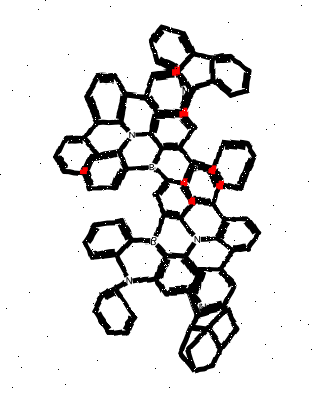 c1ccc(-c2cccc(-c3ccccc3)c2N2c3cc4c(cc3B3c5ccccc5N(c5ccccc5)c5cc(N6C7CC8CC(C7)CC6C8)cc2c53)B2c3ccccc3N(c3c(-c5ccccc5)cccc3-c3ccccc3)c3cc(-n5c6ccccc6c6ccccc65)cc(c32)N4c2ccccc2)cc1